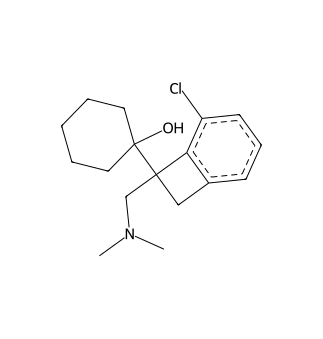 CN(C)CC1(C2(O)CCCCC2)Cc2cccc(Cl)c21